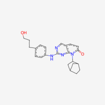 O=c1ccc2cnc(Nc3ccc(CCCO)cc3)nc2n1C1CC2CCC1C2